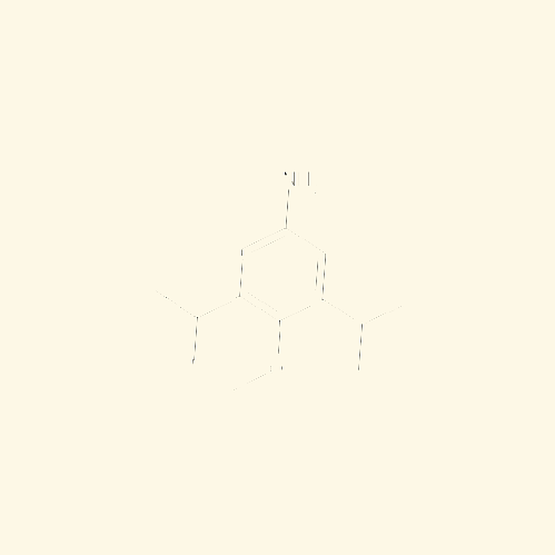 COc1c(C(C)C)cc(N)cc1C(C)C